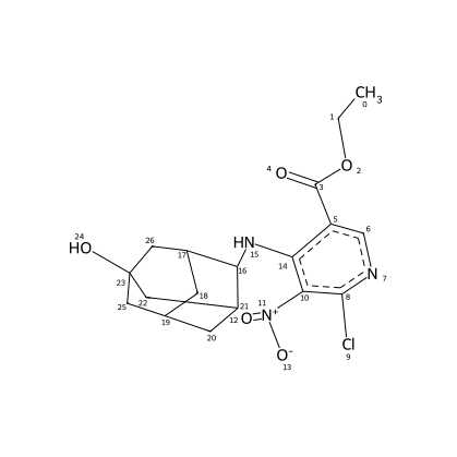 CCOC(=O)c1cnc(Cl)c([N+](=O)[O-])c1NC1C2CC3CC1CC(O)(C3)C2